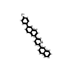 Fc1ccc(-c2ccc3cc(-c4ccc(-c5ccc6ccccc6c5)nc4)ccc3c2)cc1